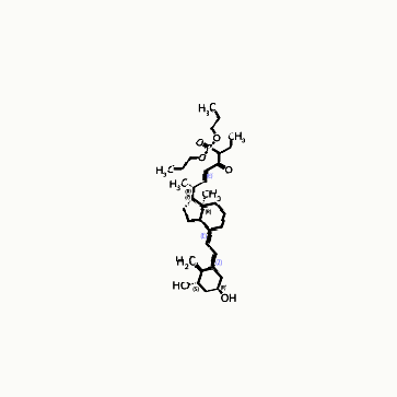 C=C1/C(=C\C=C2/CCC[C@@]3(C)C2CC[C@@H]3[C@H](C)/C=C/C(=O)C(CC)P(=O)(OCCC)OCCC)C[C@@H](O)C[C@@H]1O